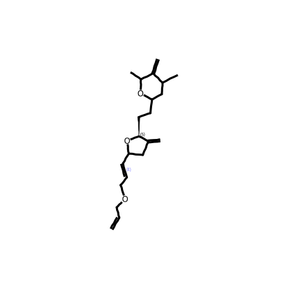 C=CCOC/C=C/C1CC(=C)[C@H](CCC2CC(C)C(=C)C(C)O2)O1